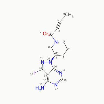 CC#CC(=O)N1CCC[C@@H](n2nc(I)c3c(N)ncnc32)C1